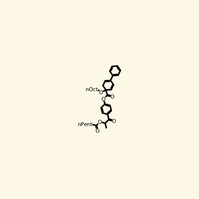 CCCCCCCCOC1(C(=O)Oc2ccc(C(=O)C(C)OC(=O)CCCCC)cc2)C=CC(c2ccccc2)=CC1